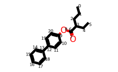 CCCC(CC)C(=O)Oc1ccc(-c2ccccc2)cc1